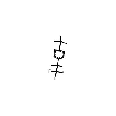 CC(C)(C)c1ccc(C(C)(C)C(F)(F)F)cc1